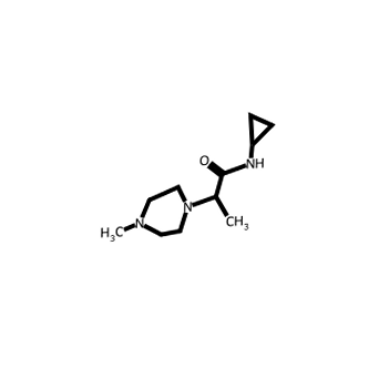 CC(C(=O)NC1CC1)N1CCN(C)CC1